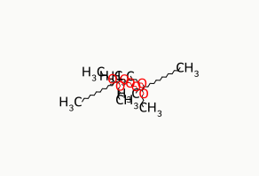 CCCCCCCCCCCCC(OCCCC)=C(OCCCC)C(C)OCOCOC(C)C(OCCCC)=C(CCCCCCCCCCCC)OCCCC